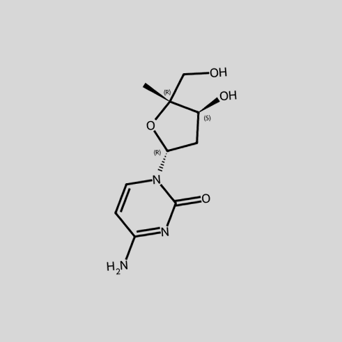 C[C@]1(CO)O[C@@H](n2ccc(N)nc2=O)C[C@@H]1O